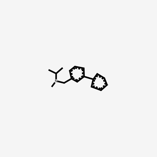 CC(C)N(C)Cc1cccc(-c2cc[c]cc2)c1